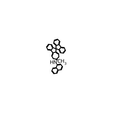 CC1(Nc2cccc3ccccc23)CC=C2C(=CC1)C1(c3ccccc32)c2ccccc2-c2ccccc21